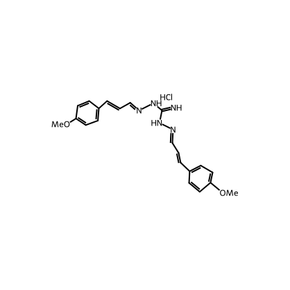 COc1ccc(C=CC=NNC(=N)NN=CC=Cc2ccc(OC)cc2)cc1.Cl